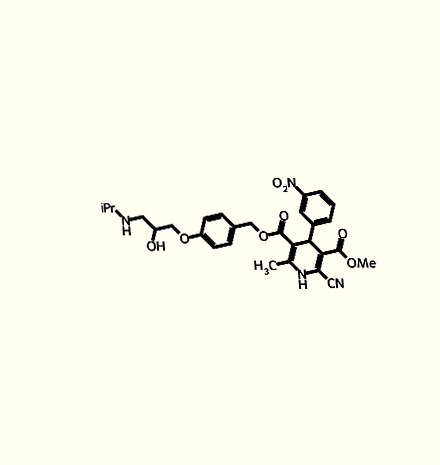 COC(=O)C1=C(C#N)NC(C)=C(C(=O)OCc2ccc(OCC(O)CNC(C)C)cc2)C1c1cccc([N+](=O)[O-])c1